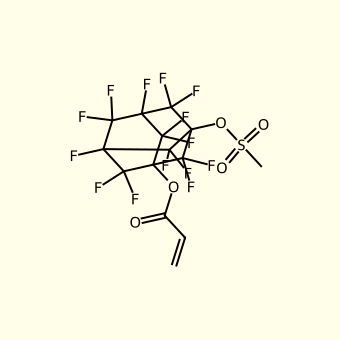 C=CC(=O)OC12C(F)(F)C3(F)C(F)(F)C(F)(C1(F)F)C(F)(F)C(OS(C)(=O)=O)(C3(F)F)C2(F)F